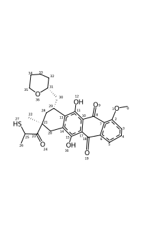 COc1cccc2c1C(=O)c1c(O)c3c(c(O)c1C2=O)C[C@@](C)(C(=O)C(C)S)C[C@@H]3C[C@H]1CCCCO1